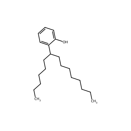 CCCCCCCCC(CCCCCC)c1ccccc1O